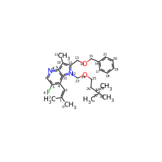 CC(C)=Cc1c(F)cnc2c(C)c(COCc3ccccc3)n(COCC[Si](C)(C)C)c12